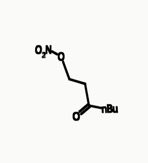 CCCCC(=O)CCO[N+](=O)[O-]